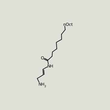 CCCCCCCCCCCCCCCC(=O)NC=CCN